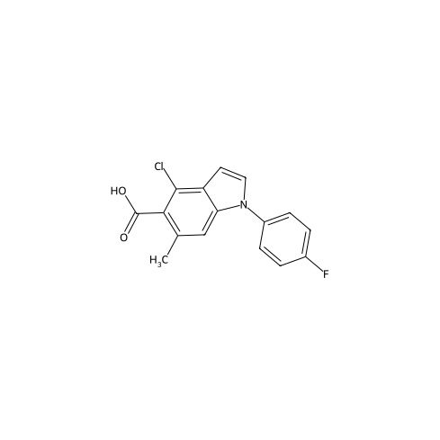 Cc1cc2c(ccn2-c2ccc(F)cc2)c(Cl)c1C(=O)O